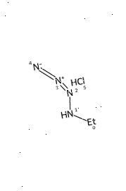 CCNN=[N+]=[N-].Cl